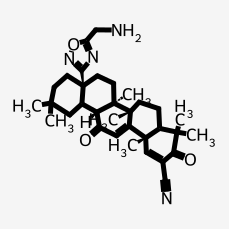 CC1(C)CC[C@]2(c3noc(CN)n3)CC[C@]3(C)[C@H](C(=O)C=C4[C@@]5(C)C=C(C#N)C(=O)C(C)(C)C5CC[C@]43C)C2C1